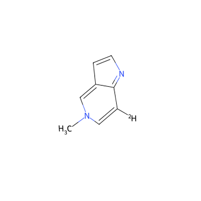 [2H]c1cn(C)cc2ccnc1-2